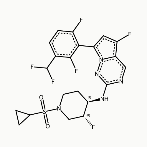 O=S(=O)(C1CC1)N1CC[C@@H](Nc2ncc3c(F)cc(-c4c(F)ccc(C(F)F)c4F)n3n2)[C@H](F)C1